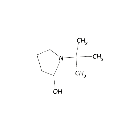 CC(C)(C)N1CCCC1O